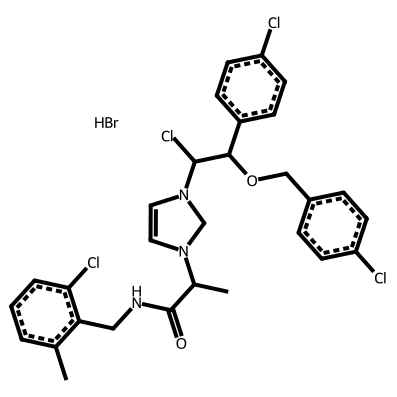 Br.Cc1cccc(Cl)c1CNC(=O)C(C)N1C=CN(C(Cl)C(OCc2ccc(Cl)cc2)c2ccc(Cl)cc2)C1